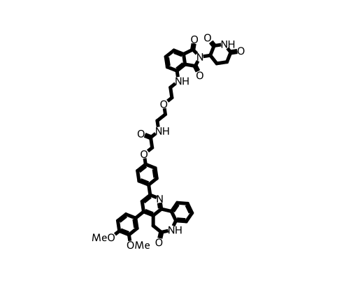 COc1ccc(-c2cc(-c3ccc(OCC(=O)NCCOCCNc4cccc5c4C(=O)N(C4CCC(=O)NC4=O)C5=O)cc3)nc3c2CC(=O)Nc2ccccc2-3)cc1OC